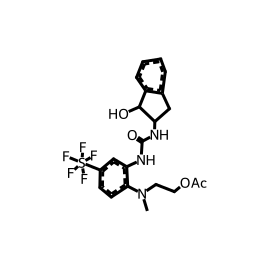 CC(=O)OCCN(C)c1ccc(S(F)(F)(F)(F)F)cc1NC(=O)NC1Cc2ccccc2C1O